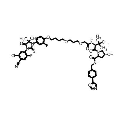 CC(C)(C)C(NC(=O)COCCCOCCCCOc1ccc(N2C(=S)N(c3cc(Cl)c(C#N)cc3F)C(=O)C2(C)C)cc1F)C(=O)N1C[C@H](O)CC1C(=O)NCc1ccc(-c2cnco2)cc1